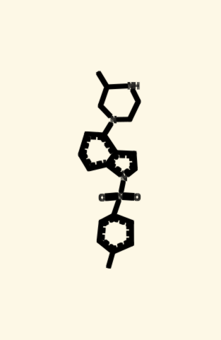 Cc1ccc(S(=O)(=O)n2ccc3c(N4CCNC(C)C4)cccc32)cc1